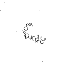 Fc1cccc(-c2nc3c([nH]2)C=NN(Cc2ccc(Oc4ccc(OC(F)(F)F)cc4)nn2)C3)c1F